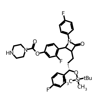 CC(C)(C)[Si](C)(C)O[C@@H](CCC1C(=O)N(c2ccc(F)cc2)C1c1ccc(OC(=O)N2CCNCC2)cc1F)c1ccc(F)cc1